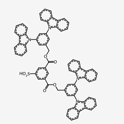 O=C(OCc1cc(-n2c3ccccc3c3ccccc32)cc(-n2c3ccccc3c3ccccc32)c1)c1cc(C(=O)OCc2cc(-n3c4ccccc4c4ccccc43)cc(-n3c4ccccc4c4ccccc43)c2)cc(S(=O)(=O)O)c1